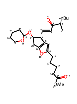 CCCC[C@H](C)C(=O)C=C[C@@H]1c2cc(CCCCC(=O)OC)oc2C[C@H]1OC1CCCCO1